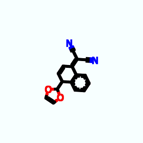 N#CC(C#N)=C1C=CC(C2OC=CO2)c2ccccc21